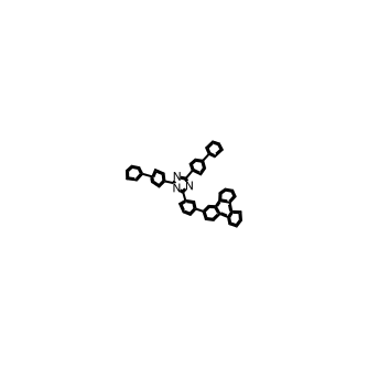 c1ccc(-c2ccc(-c3nc(-c4ccc(-c5ccccc5)cc4)nc(-c4cccc(-c5ccc6c7ccccc7c7ccccc7c6c5)c4)n3)cc2)cc1